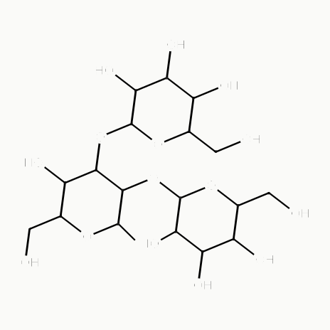 CC1OC(CO)C(O)C(OC2OC(CO)C(O)C(O)C2O)C1OC1OC(CO)C(O)C(O)C1O